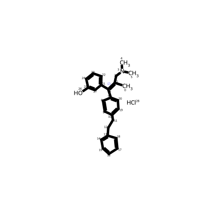 C/C(CN(C)C)=C(\c1ccc(CCc2ccccc2)cc1)c1cccc(O)c1.Cl